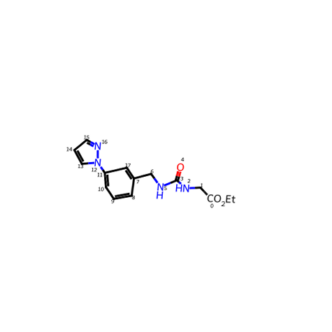 CCOC(=O)CNC(=O)NCc1cccc(-n2cccn2)c1